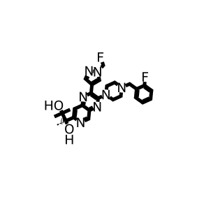 CC(C)(O)[C@](C)(O)c1cc2nc(-c3cnn(CF)c3)c(N3CCN(Cc4ccccc4F)CC3)nc2cn1